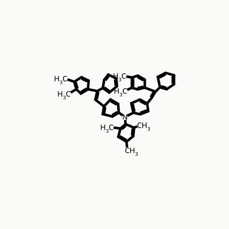 Cc1cc(C)c(N(c2ccc(/C=C(/c3ccccc3)c3ccc(C)c(C)c3)cc2)c2ccc(/C=C(\c3ccccc3)c3ccc(C)c(C)c3)cc2)c(C)c1